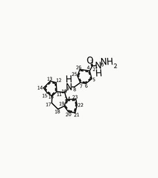 NNC(=O)c1ccc(CNC2c3ccccc3CCc3ccccc32)cc1